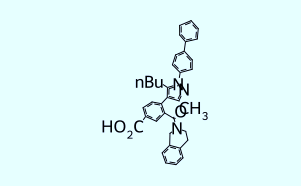 CCCCc1c(-c2ccc(C(=O)O)cc2C(=O)N2CCc3ccccc3C2)c(C)nn1-c1ccc(-c2ccccc2)cc1